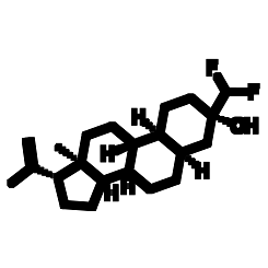 C=C(C)[C@H]1CC[C@H]2[C@@H]3CC[C@@H]4C[C@](O)(C(F)F)CC[C@@H]4[C@H]3CC[C@]12C